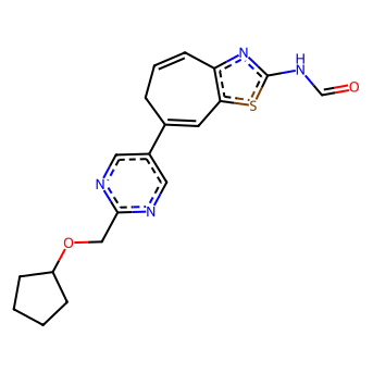 O=CNc1nc2c(s1)C=C(c1cnc(COC3CCCC3)nc1)CC=C2